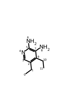 CCc1cnc(N)c(N)c1CC